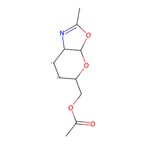 CC(=O)OCC1[C][C]C2N=C(C)OC2O1